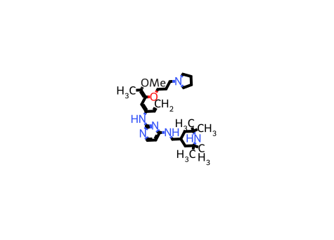 C=C/C(=C\C(OCCCN1CCCC1)=C(/C)OC)Nc1nccc(NCC2CC(C)(C)NC(C)(C)C2)n1